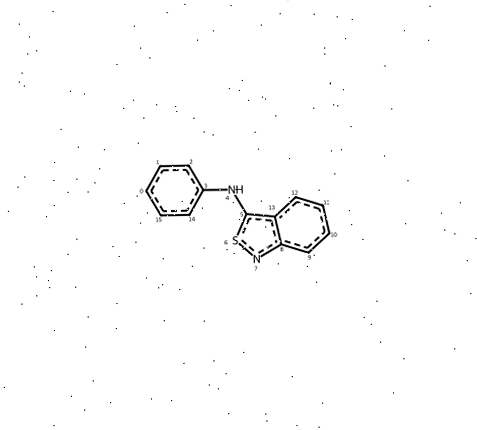 c1ccc(Nc2snc3ccccc23)cc1